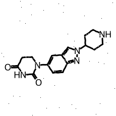 O=C1CCN(c2ccc3nn(C4CCNCC4)cc3c2)C(=O)N1